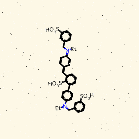 CCN(Cc1cccc(S(=O)(=O)O)c1)c1ccc(-c2cccc(C=C3C=CC(=[N+](CC)Cc4cccc(S(=O)(=O)O)c4)C=C3)c2S(=O)(=O)O)cc1